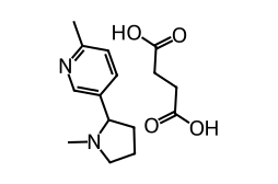 Cc1ccc(C2CCCN2C)cn1.O=C(O)CCC(=O)O